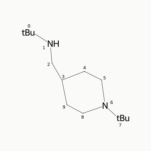 CC(C)(C)NCC1CCN(C(C)(C)C)CC1